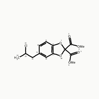 COC(=O)C1(C(=O)OC)Oc2ccc(CC(C)Cl)cc2O1